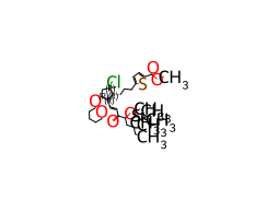 CCCCC(O[Si](C)(C)C(C)(C)C)C(=O)C=C[C@@H]1[C@@H](CCCc2ccc(C(=O)OC)s2)[C@H](Cl)C[C@H]1OC1CCCCO1